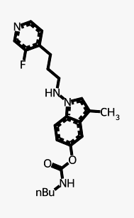 CCCCNC(=O)Oc1ccc2c(c1)c(C)cn2NCCCc1ccncc1F